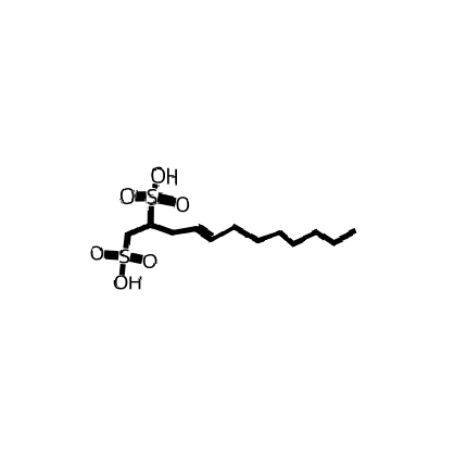 CCCCCCCC=CCC(CS(=O)(=O)O)S(=O)(=O)O